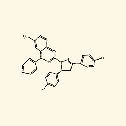 Cc1ccc2nc(N3N=C(c4ccc(Br)cc4)C[C@H]3c3ccc(F)cc3)nc(-c3ccccc3)c2c1